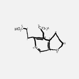 O=C(O)CCc1ncc2c(c1C(=O)O)CCO2